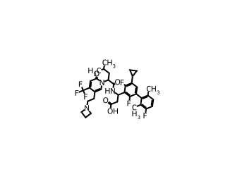 Cc1ccc(F)c(C)c1-c1cc(C2CC2)c(F)c(C(CC(=O)O)NC(=O)C(CC(C)C)n2cc(CCN3CCC3)c(C(F)(F)F)cc2=O)c1F